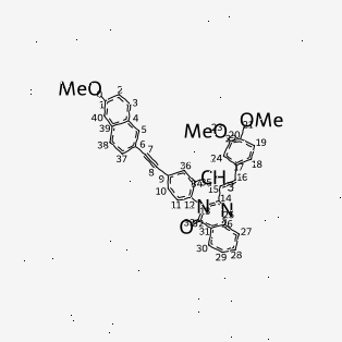 COc1ccc2cc(C#Cc3ccc(-n4c(/C=C/c5ccc(OC)c(OC)c5)nc5ccccc5c4=O)c(C)c3)ccc2c1